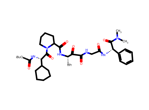 CCC[C@H](NC(=O)C1CCCCN1C(=O)[C@@H](NC(=O)OCC(C)C)C1CCCCC1)C(=O)C(=O)NCC(=O)N[C@H](C(=O)N(C)C)c1ccccc1